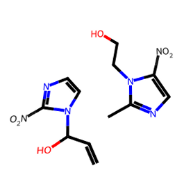 C=CC(O)n1ccnc1[N+](=O)[O-].Cc1ncc([N+](=O)[O-])n1CCO